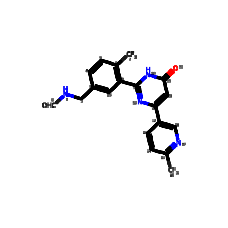 O=CNCc1ccc(C(F)(F)F)c(-c2nc(-c3ccc(C(F)(F)F)nc3)cc(=O)[nH]2)c1